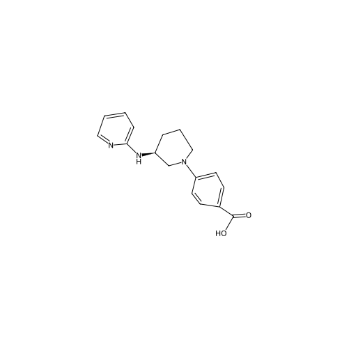 O=C(O)c1ccc(N2CCC[C@H](Nc3ccccn3)C2)cc1